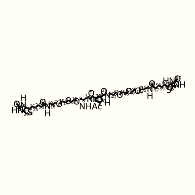 CC(=O)Nc1cc(C(=O)NCCCOCCOCCOCCCNC(=O)CCCCC2SCC3NC(=O)NC32)cc(C(=O)NCCCOCCOCCOCCCNC(=O)CCCCC2SCC3NC(=O)NC32)c1